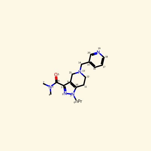 CCCn1nc(C(=O)N(C)C)c2c1CCN(Cc1cccnc1)C2